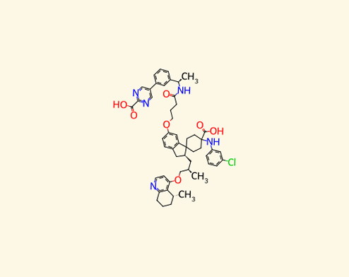 C[C@@H](COc1ccnc2c1[C@H](C)CCC2)C[C@H]1Cc2ccc(OCCCC(=O)N[C@H](C)c3cccc(-c4cnc(C(=O)O)nc4)c3)cc2C12CCC(Nc1cccc(Cl)c1)(C(=O)O)CC2